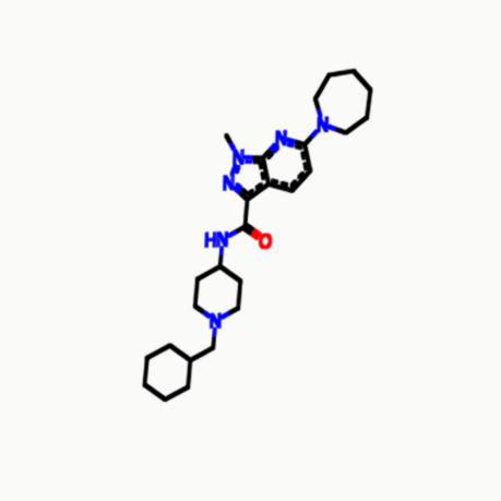 Cn1nc(C(=O)NC2CCN(CC3CCCCC3)CC2)c2ccc(N3CCCCCC3)nc21